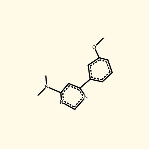 COc1cccc(-c2cc(N(C)C)ncn2)c1